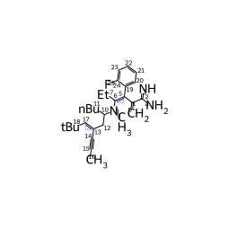 C=C(C(=N)N)/C(=C(/CC)N(C)C(CCCC)C/C(C#CC)=C/C(C)(C)C)c1ccccc1F